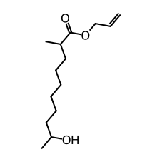 C=CCOC(=O)C(C)CCCCCCC(C)O